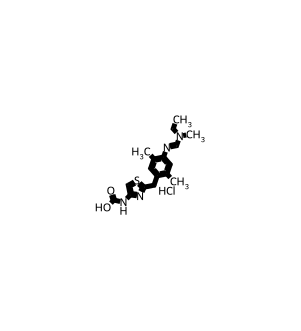 CCN(C)C=Nc1cc(C)c(Cc2nc(NC(=O)O)cs2)cc1C.Cl